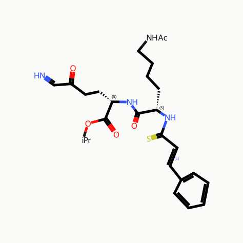 CC(=O)NCCCC[C@H](NC(=S)/C=C/c1ccccc1)C(=O)N[C@@H](CCC(=O)C=N)C(=O)OC(C)C